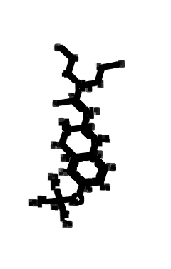 CCCN(CCC)/C(C)=N/C1=Nc2ccc(OC(F)(F)F)cc2CS1